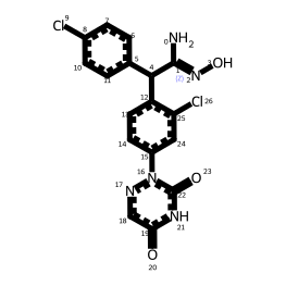 N/C(=N\O)C(c1ccc(Cl)cc1)c1ccc(-n2ncc(=O)[nH]c2=O)cc1Cl